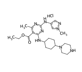 CCOC(=O)c1c(C)nc(Nc2cnn(C)c2)nc1NC1CCC(N2CCNCC2)CC1.Cl